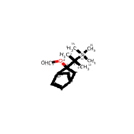 CC(C)(C1(OC=O)CC2C=CC1C2)[Si](C)(C)C